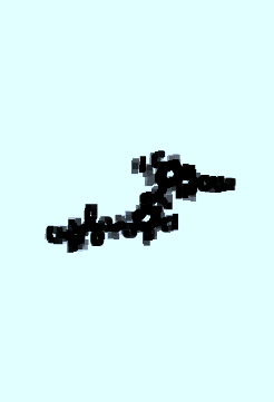 COc1cnc2c(-c3nc4c(Cl)c(F)c(OCCOC(=O)Nc5csc(Cl)n5)cc4s3)cc(C)cc2n1